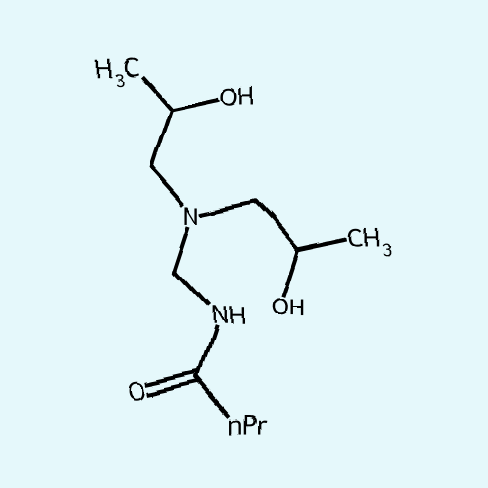 CCCC(=O)NCN(CC(C)O)CC(C)O